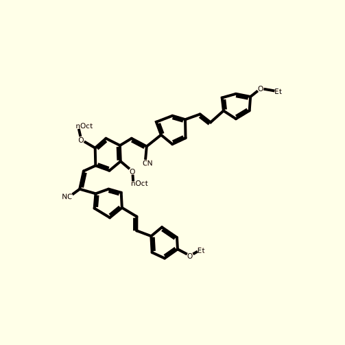 CCCCCCCCOc1cc(/C=C(/C#N)c2ccc(/C=C/c3ccc(OCC)cc3)cc2)c(OCCCCCCCC)cc1/C=C(\C#N)c1ccc(/C=C/c2ccc(OCC)cc2)cc1